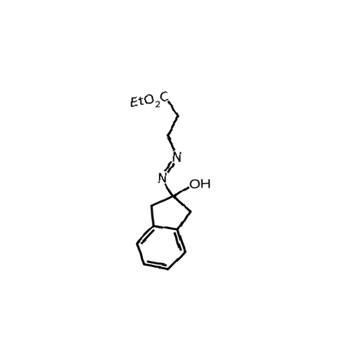 CCOC(=O)CCN=NC1(O)Cc2ccccc2C1